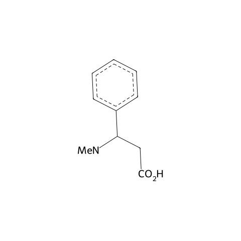 CNC(CC(=O)O)c1ccccc1